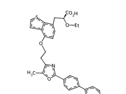 CCO[C@@H](Cc1ccc(OCCc2nc(-c3ccc(-c4ccccc4)cc3)oc2C)c2ccsc12)C(=O)O